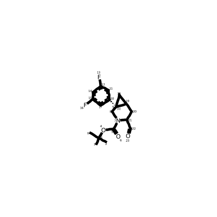 CC(C)(C)OC(=O)N1C[C@@]2(c3cc(F)cc(F)c3)CC2CC1C=O